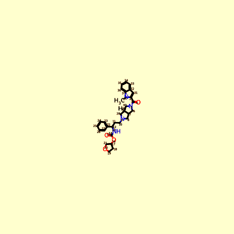 Cn1c(C(=O)N2CC3CN(CCC(NC(=O)OC4CCOC4)c4ccccc4)C[C@H]3C2)cc2ccccc21